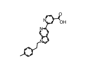 Cc1ccc(CCn2ccc3cc(-c4cc(C(=O)O)ccn4)ncc32)cc1